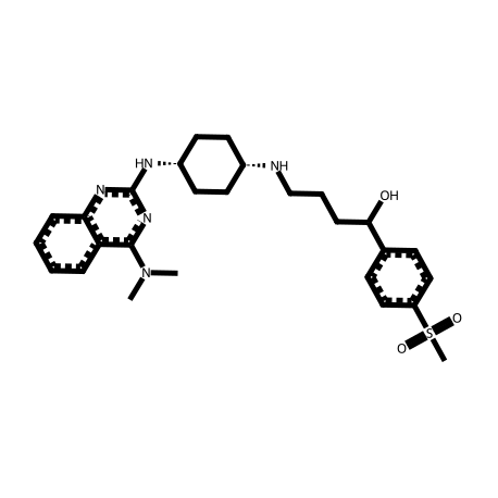 CN(C)c1nc(N[C@H]2CC[C@@H](NCCCC(O)c3ccc(S(C)(=O)=O)cc3)CC2)nc2ccccc12